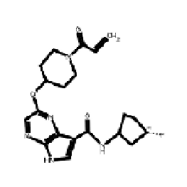 C=CC(=O)N1CCC(Oc2cnc3[nH]cc(C(=O)NC4CC[C@H](F)C4)c3n2)CC1